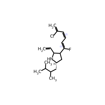 C=CC1N[C@@H](CC(C)C(C)C)CC1/C(F)=C/C=C\C(=C)Cl